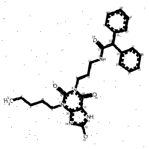 CCCCCn1c(=O)n(CCCNC(=O)C(c2ccccc2)c2ccccc2)c(=O)c2[nH]c(Cl)nc21